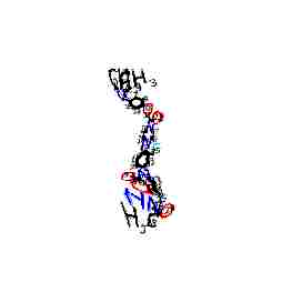 CCN(CC)Cc1ccc(OCC(=O)N2CCN(c3ccc(N4C[C@H](CNC(C)=O)OC4=O)cc3F)CC2)cc1